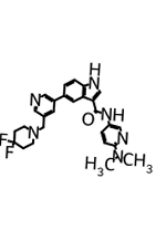 CN(C)c1ccc(NC(=O)c2c[nH]c3ccc(-c4cncc(CN5CCC(F)(F)CC5)c4)cc23)cn1